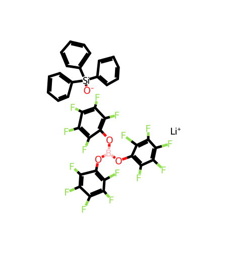 Fc1c(F)c(F)c(OB(Oc2c(F)c(F)c(F)c(F)c2F)Oc2c(F)c(F)c(F)c(F)c2F)c(F)c1F.[Li+].[O-][Si](c1ccccc1)(c1ccccc1)c1ccccc1